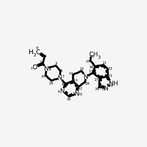 C=CC(=O)N1CCN(c2ncnc3c2CCN(c2c(CC)ccc4[nH]ncc24)C3)CC1